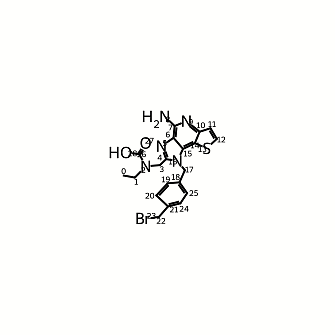 CCN(Cc1nc2c(N)nc3ccsc3c2n1Cc1ccc(CBr)cc1)C(=O)O